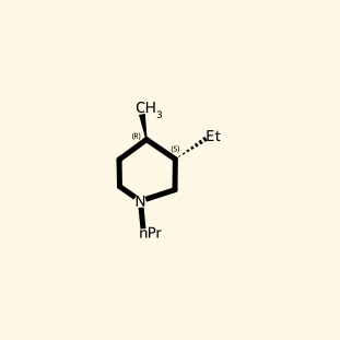 CCCN1CC[C@@H](C)[C@H](CC)C1